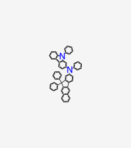 c1ccc(N(c2ccc3c(c2)C(c2ccccc2)(c2ccccc2)c2cc4ccccc4cc2-3)c2ccc3c4ccccc4n(-c4ccccc4)c3c2)cc1